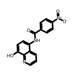 O=C(Nc1ccc(O)c2ncccc12)c1ccc([N+](=O)[O-])cc1